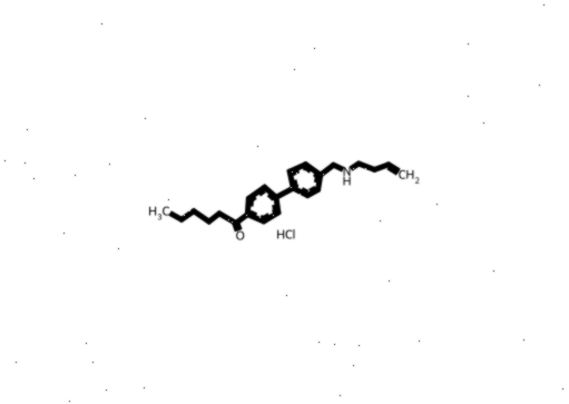 C=CCCNCc1ccc(-c2ccc(C(=O)CCCCC)cc2)cc1.Cl